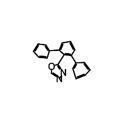 c1ccc(-c2cccc(-c3ccccc3)c2-c2nnco2)cc1